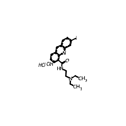 CCN(CC)CCNC(=O)c1cccc2cc3ccc(I)cc3nc12.Cl.Cl